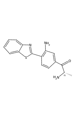 C[C@H](N)C(=O)c1ccc(-c2nc3ccccc3s2)c(N)c1